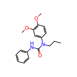 CCCN(C(=O)Nc1ccccc1)c1ccc(OC)c(OC)c1